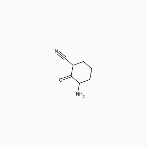 N#CC1CCCC(N)C1=O